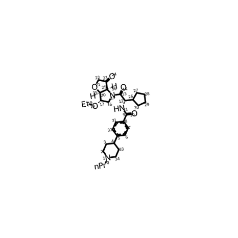 CCCN1CCC(c2ccc(C(=O)N[C@H](C(=O)N3C[C@H](OCC)[C@H]4OCC(=O)[C@H]43)C3CCCC3)cc2)CC1